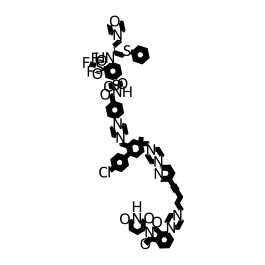 CC1(CN2CCN(c3ccc(C#CCCCN4CCN(c5cccc6c5C(=O)N(C5CCC(=O)NC5=O)C6=O)CC4)cn3)CC2)CCC(c2ccc(Cl)cc2)=C(CN2CCN(c3ccc(C(=O)NS(=O)(=O)c4ccc(N[C@H](CCN5CCOCC5)CSc5ccccc5)c(S(=O)(=O)C(F)(F)F)c4)cc3)CC2)C1